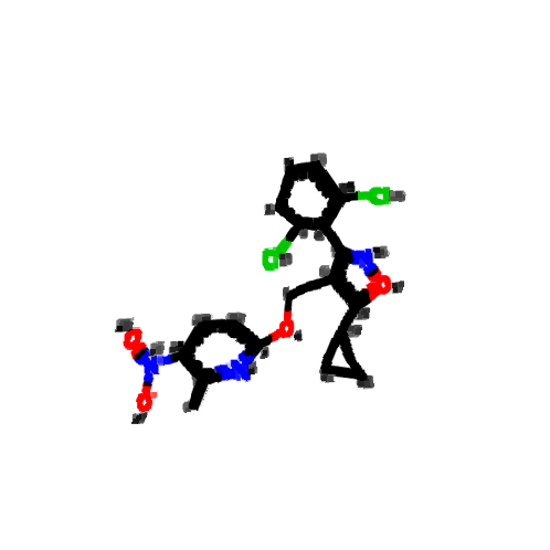 Cc1nc(OCc2c(-c3c(Cl)cccc3Cl)noc2C2CC2)ccc1[N+](=O)[O-]